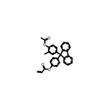 C=CC(=O)Oc1ccc(C2(c3ccc(OC(C)=O)c(C)c3)c3ccccc3-c3ccccc32)cc1